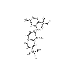 CCS(=O)(=O)c1ccc(Cl)cc1Nn1cnc2ccc(C(F)(F)F)cc2c1=O